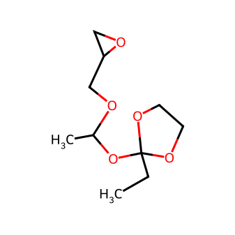 CCC1(OC(C)OCC2CO2)OCCO1